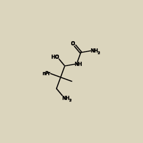 CCCC(C)(CN)C(O)NC(N)=O